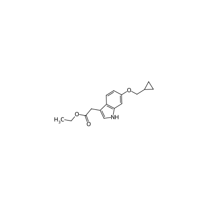 CCOC(=O)Cc1c[nH]c2cc(OCC3CC3)ccc12